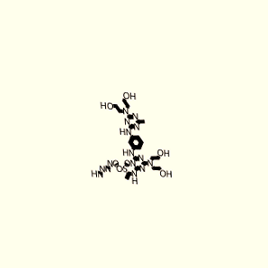 C=C(Nc1nc(Nc2cccc(Nc3nc(C)nc(N(CCO)CCO)n3)c2)nc(N(CCO)CCO)n1)S(=O)OO/N=N/N=N